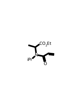 C=CC(=O)N(C(C)C)C(C)C(=O)OCC